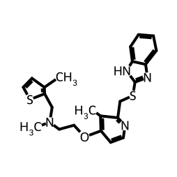 Cc1ccsc1CN(C)CCOc1ccnc(CSc2nc3ccccc3[nH]2)c1C